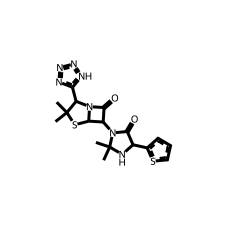 CC1(C)SC2C(N3C(=O)C(c4cccs4)NC3(C)C)C(=O)N2C1c1nnn[nH]1